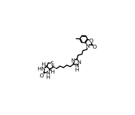 Cc1ccc2oc(=O)n(CCCCc3n[nH]c(CCCCC[C@@H]4SC[C@@H]5NC(=O)N[C@@H]54)n3)c2c1